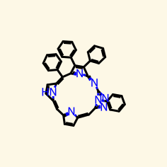 C1=Cc2cc3nnc(nc4nc(c(-c5ccccc5)c5ccc(cc1n2)[nH]5)C(c1ccccc1)=C4c1ccccc1)n3-c1ccccc1